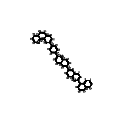 c1ccc2c(-c3ccc4cc(-c5ccc6nc(-c7ccc(-c8ccc9ccc%10cccnc%10c9n8)cc7)ccc6c5)ccc4n3)cccc2c1